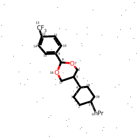 CCCC1CCC(C2COC(c3ccc(C(F)(F)F)cc3)OC2)CC1